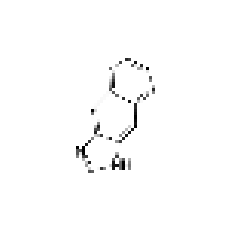 c1ccc2cc3[nH]cnc3cc2c1